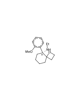 CCN[C@@]1(c2ccccc2OC)CCCCC12CCO2